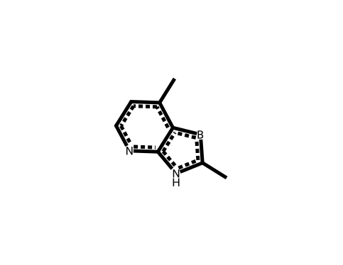 Cc1bc2c(C)ccnc2[nH]1